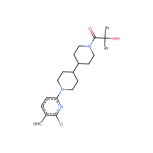 CC(C)C(O)(C(=O)N1CCC(C2CCN(c3ccc(C=O)c(Cl)n3)CC2)CC1)C(C)C